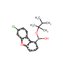 CC(C)C(C)(C)OB(O)c1cccc2oc3cc(Cl)ccc3c12